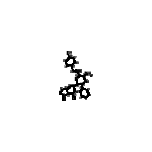 Nc1nc(-c2ccccc2)c(-c2cc(Cl)c3[nH]ncc3c2)nc1NCc1ccc(F)cc1